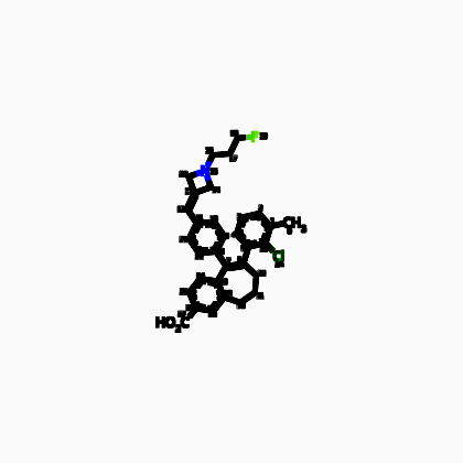 Cc1cccc(C2=C(c3ccc(C=C4CN(CCCF)C4)cc3)c3ccc(C(=O)O)cc3CCC2)c1Cl